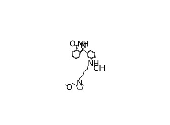 COC[C@@H]1CCCN1CCCCCNc1cccc(-c2n[nH]c(=O)c3ccccc23)c1.Cl